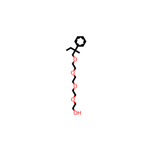 CCC(C)(COCCOCCOCCOCCO)c1ccccc1